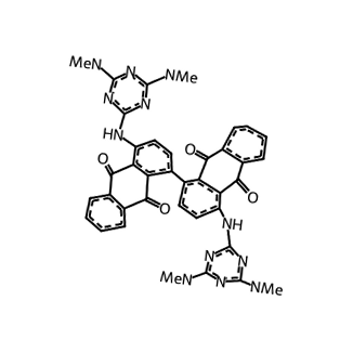 CNc1nc(NC)nc(Nc2ccc(-c3ccc(Nc4nc(NC)nc(NC)n4)c4c3C(=O)c3ccccc3C4=O)c3c2C(=O)c2ccccc2C3=O)n1